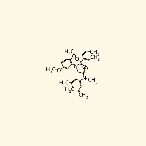 C=C/C=C(\C=C(C)C)N(C)C(=O)CN(c1cc(OC)ccc1OC)S(=O)(=O)C(/C=C\C)=C/C